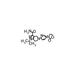 CC(C)n1nc(C(N)=O)c2c1CCN(c1ccc(N3CCOC3=O)cn1)C2